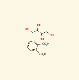 O=C(O)c1ccccc1C(=O)O.OCC(O)C(O)CO